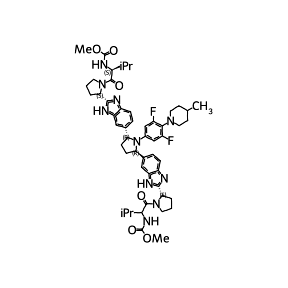 COC(=O)NC(C(=O)N1CCC[C@H]1c1nc2ccc([C@H]3CC[C@H](c4ccc5nc([C@@H]6CCCN6C(=O)[C@@H](NC(=O)OC)C(C)C)[nH]c5c4)N3c3cc(F)c(N4CCC(C)CC4)c(F)c3)cc2[nH]1)C(C)C